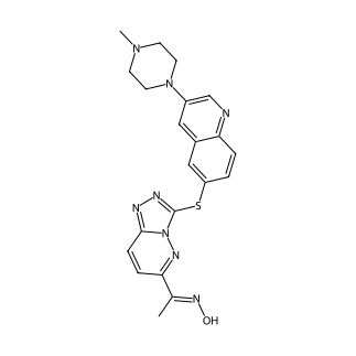 CC(=NO)c1ccc2nnc(Sc3ccc4ncc(N5CCN(C)CC5)cc4c3)n2n1